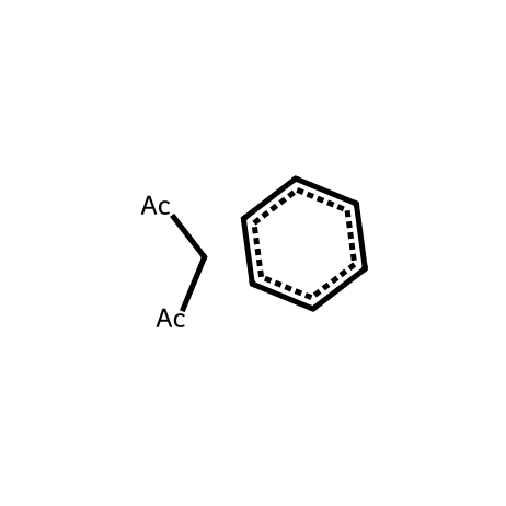 CC(=O)CC(C)=O.c1ccccc1